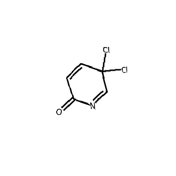 O=C1C=CC(Cl)(Cl)C=N1